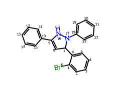 Brc1ccccc1C1C=C(c2ccccc2)NN1c1ccccc1